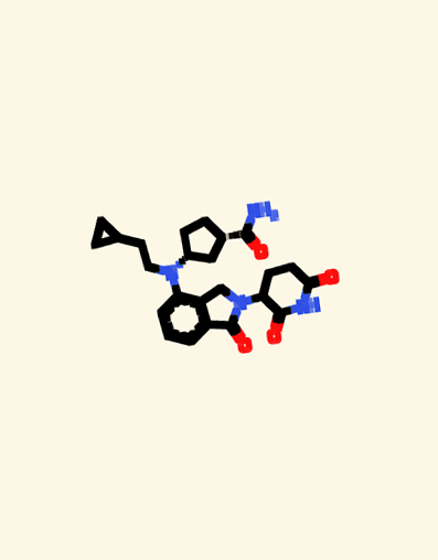 NC(=O)[C@H]1CC[C@@H](N(CCC2CC2)c2cccc3c2CN(C2CCC(=O)NC2=O)C3=O)C1